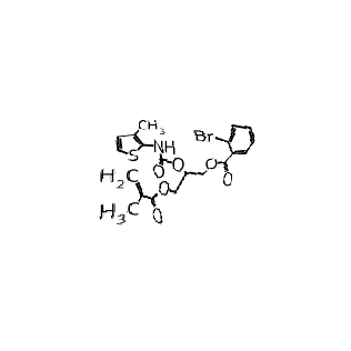 C=C(C)C(=O)OCC(COC(=O)c1ccccc1Br)OC(=O)Nc1sccc1C